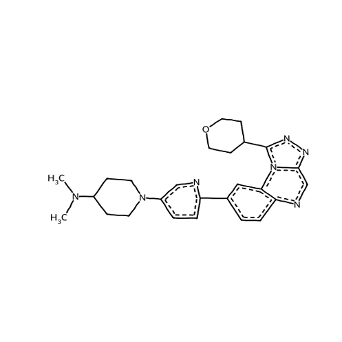 CN(C)C1CCN(c2ccc(-c3ccc4ncc5nnc(C6CCOCC6)n5c4c3)nc2)CC1